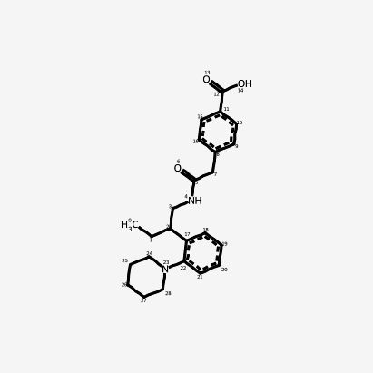 CCC(CNC(=O)Cc1ccc(C(=O)O)cc1)c1ccccc1N1CCCCC1